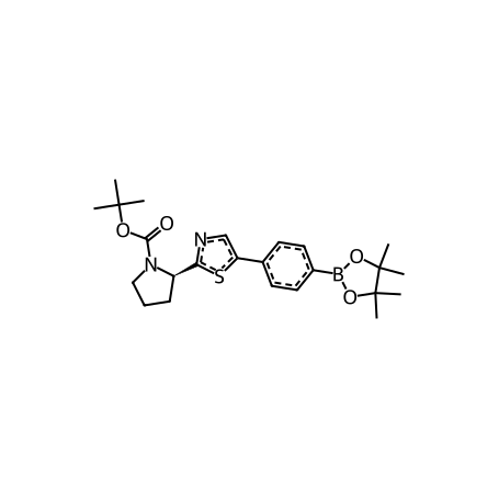 CC(C)(C)OC(=O)N1CCC[C@@H]1c1ncc(-c2ccc(B3OC(C)(C)C(C)(C)O3)cc2)s1